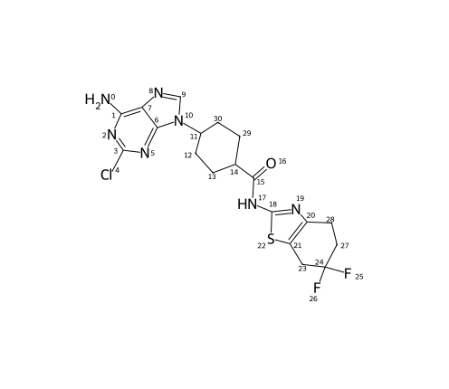 Nc1nc(Cl)nc2c1ncn2C1CCC(C(=O)Nc2nc3c(s2)CC(F)(F)CC3)CC1